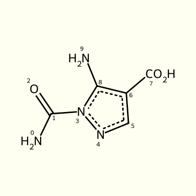 NC(=O)n1ncc(C(=O)O)c1N